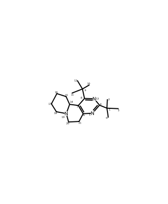 CC(C)(C)c1nc2c(c(C(C)(C)C)n1)C1CCCCN1CC2